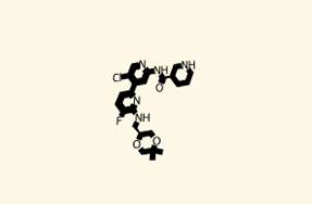 CC1(C)CO[C@@H](CNc2nc(-c3cc(NC(=O)[C@@H]4CCCNC4)ncc3Cl)ccc2F)CO1